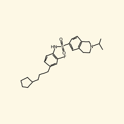 CC(C)N1CCc2cc(S(=O)(=O)Nc3ccc(CCCC4CCCC4)cc3F)ccc2C1